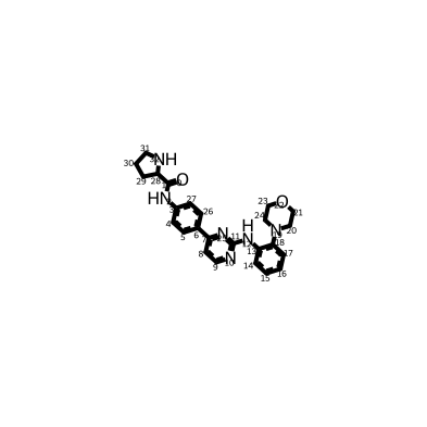 O=C(Nc1ccc(-c2ccnc(Nc3ccccc3N3CCOCC3)n2)cc1)C1CCCN1